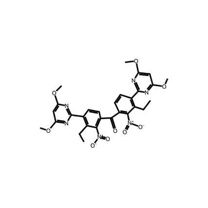 CCc1c(-c2nc(OC)cc(OC)n2)ccc(C(=O)c2ccc(-c3nc(OC)cc(OC)n3)c(CC)c2[N+](=O)[O-])c1[N+](=O)[O-]